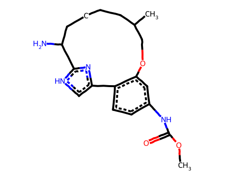 COC(=O)Nc1ccc2c(c1)OCC(C)CCCCC(N)c1nc-2c[nH]1